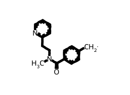 [CH2]c1ccc(C(=O)N(C)CCc2ccccn2)cc1